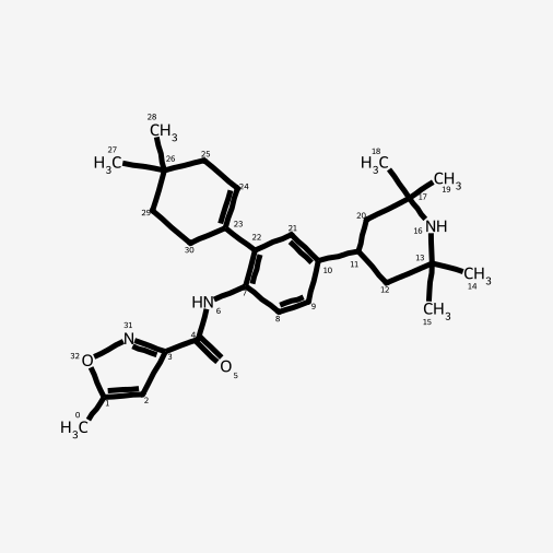 Cc1cc(C(=O)Nc2ccc(C3CC(C)(C)NC(C)(C)C3)cc2C2=CCC(C)(C)CC2)no1